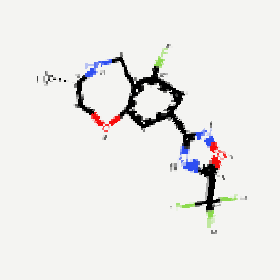 C[C@H]1COc2cc(-c3noc(C(F)(F)F)n3)cc(F)c2CN1